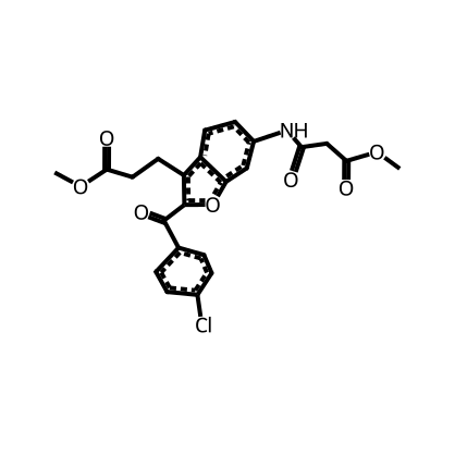 COC(=O)CCc1c(C(=O)c2ccc(Cl)cc2)oc2cc(NC(=O)CC(=O)OC)ccc12